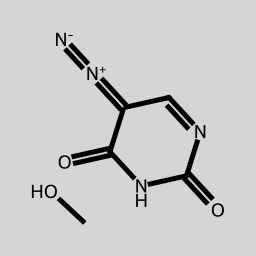 CO.[N-]=[N+]=C1C=NC(=O)NC1=O